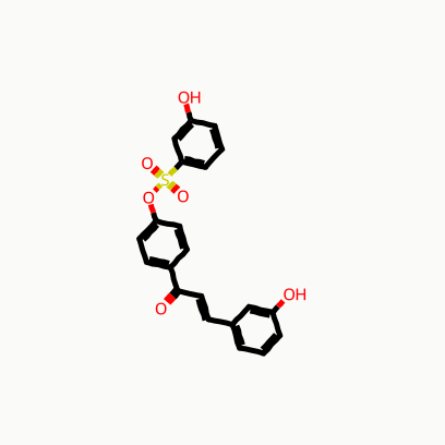 O=C(C=Cc1cccc(O)c1)c1ccc(OS(=O)(=O)c2cccc(O)c2)cc1